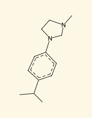 CC(C)c1ccc(N2CCN(C)C2)cc1